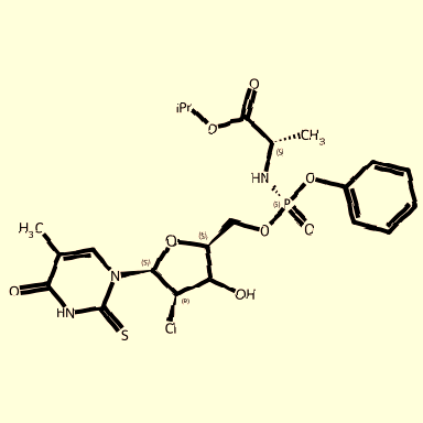 Cc1cn([C@H]2O[C@@H](CO[P@@](=O)(N[C@@H](C)C(=O)OC(C)C)Oc3ccccc3)C(O)[C@H]2Cl)c(=S)[nH]c1=O